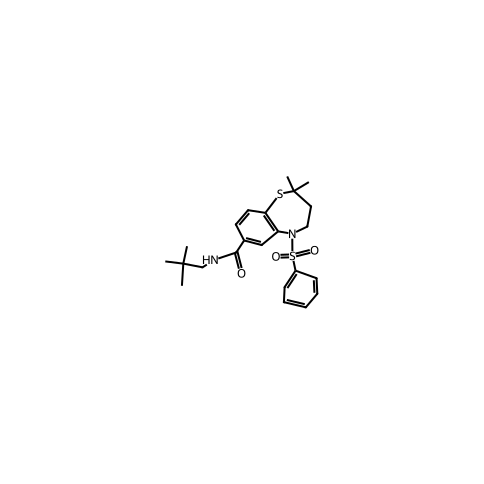 CC(C)(C)CNC(=O)c1ccc2c(c1)N(S(=O)(=O)c1ccccc1)CCC(C)(C)S2